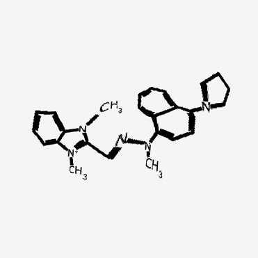 CN(/N=C/c1n(C)c2ccccc2[n+]1C)c1ccc(N2CCCC2)c2ccccc12